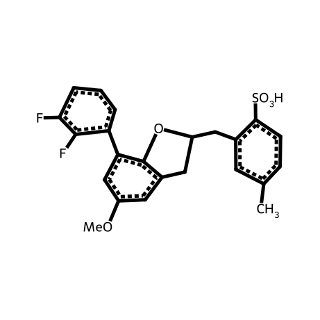 COc1cc2c(c(-c3cccc(F)c3F)c1)OC(Cc1cc(C)ccc1S(=O)(=O)O)C2